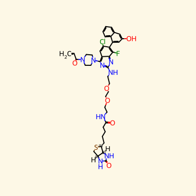 C=CC(=O)N1CCN(c2nc(NCCOCCOCCNC(=O)CCCC[C@@H]3SC[C@@H]4NC(=O)N[C@@H]43)nc3c(F)c(-c4cc(O)cc5ccccc45)c(Cl)cc23)CC1